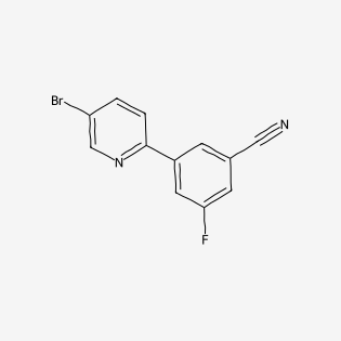 N#Cc1cc(F)cc(-c2ccc(Br)cn2)c1